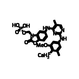 COc1cc(Nc2ncc(C)c(Nc3ccc4oc(=O)n(COP(=O)(O)O)c4c3)n2)cc(C)c1F.[CaH2]